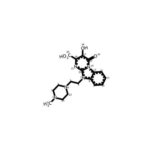 CN1CCN(CCn2c3ccccc3n3c(=O)c(O)c(C(=O)O)nc23)CC1